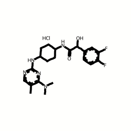 Cc1cnc(NC2CCC(NC(=O)C(O)c3ccc(F)c(F)c3)CC2)nc1N(C)C.Cl